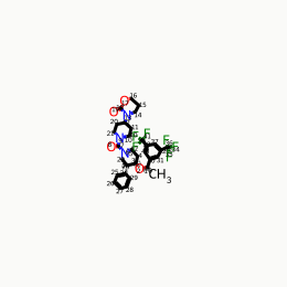 C[C@@H](O[C@H]1CCN(C(=O)N2CCC(N3CCCOC3=O)CC2)C[C@H]1c1ccccc1)c1cc(C(F)(F)F)cc(C(F)(F)F)c1